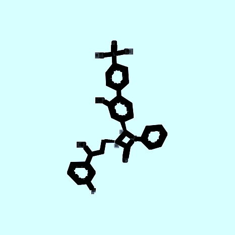 O=C1[C@H](CCC(O)c2cccc(F)c2)[C@@H](c2ccc(-c3ccc(P(=O)(O)O)cc3)c(O)c2)N1c1ccccc1